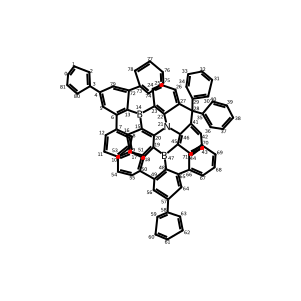 c1ccc(-c2cc(-c3ccccc3)c(B3c4cccc5c4N4c6c3cccc6C(c3ccccc3)(c3ccccc3)c3cccc(c34)B5c3c(-c4ccccc4)cc(-c4ccccc4)cc3-c3ccccc3)c(-c3ccccc3)c2)cc1